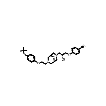 CC(C)(C)Oc1ccc(OCCN2CC3CN(C[C@@H](O)COc4ccc(C#N)cc4)CC(C2)O3)cc1